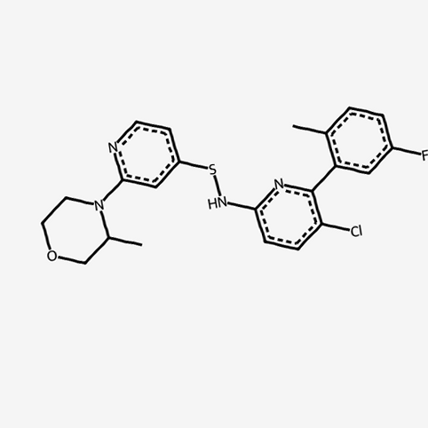 Cc1ccc(F)cc1-c1nc(NSc2ccnc(N3CCOCC3C)c2)ccc1Cl